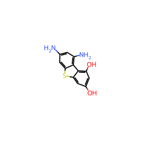 Nc1cc(N)c2c(c1)sc1cc(O)cc(O)c12